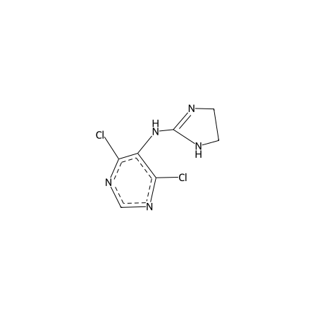 Clc1ncnc(Cl)c1NC1=NCCN1